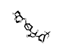 O=C1CN(c2cncc(C(F)(F)F)c2)C(=O)N1C12CCC(Oc3ncnc4[nH]ccc34)(CC1)CC2